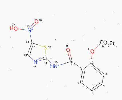 CCOC(=O)Oc1ccccc1C(=O)Nc1ncc([N+](=O)O)s1